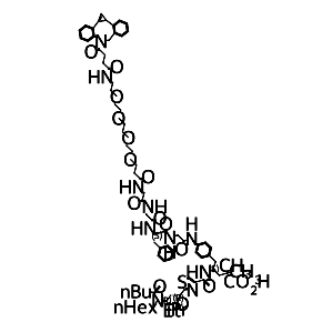 CCCCCCN(C(=O)CCCC)[C@H](C[C@@H](OCC)c1nc(C(=O)N[C@@H](Cc2ccc(NC(=O)CNC(=O)[C@H](Cc3ccccc3)NC(=O)CNC(=O)CNC(=O)CCOCCOCCOCCOCCNC(=O)CCC(=O)N3Cc4ccccc4C4C=C4c4ccccc43)cc2)CC(C)(C)C(=O)O)cs1)C(C)C